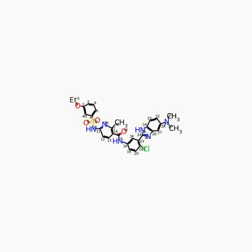 CCOc1cccc(S(=O)(=O)Nc2ccc(C(=O)Nc3ccc(Cl)c(-c4nc5cc(N(C)C)ccc5[nH]4)c3)c(C)n2)c1